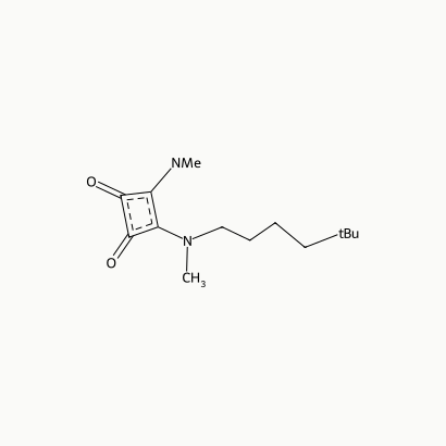 CNc1c(N(C)CCCCC(C)(C)C)c(=O)c1=O